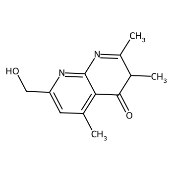 CC1=Nc2nc(CO)cc(C)c2C(=O)C1C